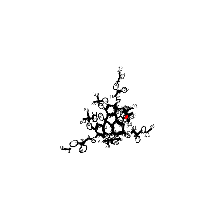 CCOC(=O)CSc1c2c(c(C(O)(c3c4c(c(SCC(=O)OCC)c5c3OC(C)(C)O5)OC(C)(C)O4)c3c4c(c(SCC(=O)OCC)c5c3OC(C)(C)O5)OC(C)(C)O4)c3c1OC(C)(C)O3)OC(C)(C)O2